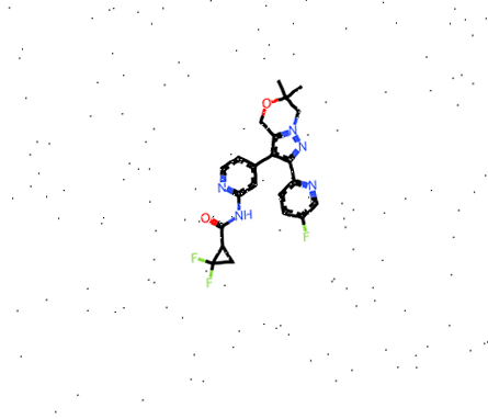 CC1(C)Cn2nc(-c3ccc(F)cn3)c(-c3ccnc(NC(=O)C4CC4(F)F)c3)c2CO1